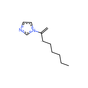 C=C([CH]CCCCC)n1ccnc1